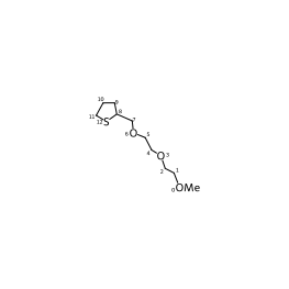 COCCOCCOCC1CCCS1